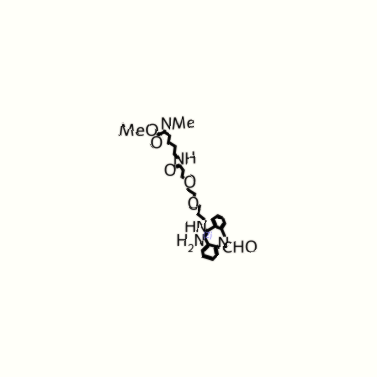 CNC(CCCCNC(=O)CCOCCOCCCN/C1=C(\N)c2ccccc2N(C=O)Cc2ccccc21)C(=O)OC